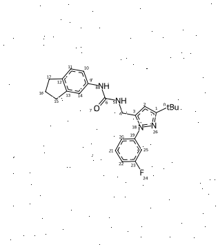 CC(C)(C)c1cc(CNC(=O)Nc2ccc3c(c2)CCC3)n(-c2cccc(F)c2)n1